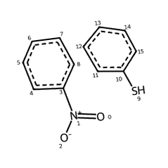 O=[N+]([O-])c1ccccc1.Sc1ccccc1